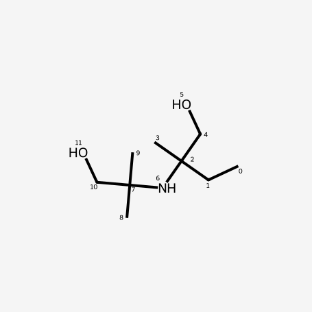 CCC(C)(CO)NC(C)(C)CO